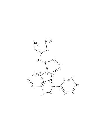 NCC(CS(=O)(=O)O)Oc1cccc2c1c1cccc3c1n2C(c1ccccc1)CO3